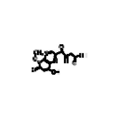 COn1c(=O)cc(O)c2nc(C(=O)NCC(=O)O)cnc21